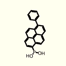 OP(O)c1ccc2ccc3c(-c4ccccc4)ccc4ccc1c2c43